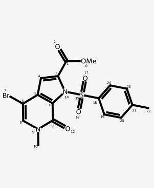 COC(=O)c1cc2c(Br)cn(C)c(=O)c2n1S(=O)(=O)c1ccc(C)cc1